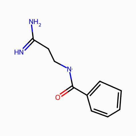 N=C(N)CC[N]C(=O)c1ccccc1